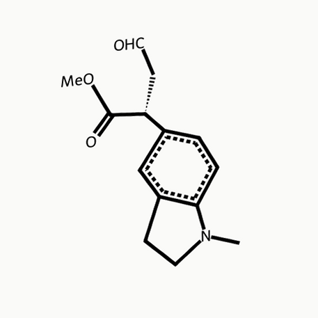 COC(=O)[C@H](CC=O)c1ccc2c(c1)CCN2C